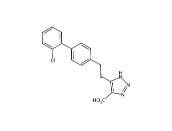 O=C(O)c1nn[nH]c1SCc1ccc(-c2ccccc2Cl)cc1